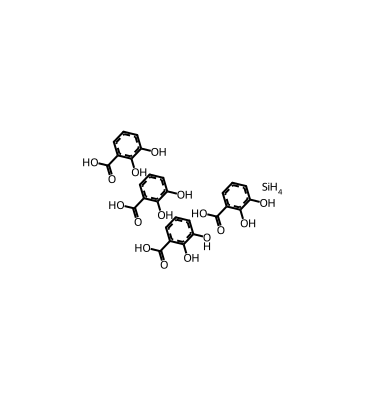 O=C(O)c1cccc(O)c1O.O=C(O)c1cccc(O)c1O.O=C(O)c1cccc(O)c1O.O=C(O)c1cccc(O)c1O.[SiH4]